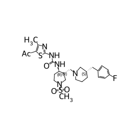 CC(=O)c1sc(NC(=O)N[C@@H]2CCN(S(C)(=O)=O)C[C@H]2CN2CCC[C@@H](Cc3ccc(F)cc3)C2)nc1C